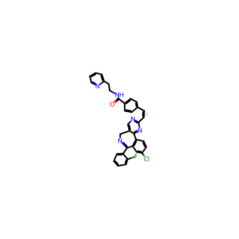 O=C(NCCc1ccccn1)c1ccc(/C=C\c2ncc3c(n2)-c2ccc(Cl)cc2C(c2ccccc2F)=NC3)cc1